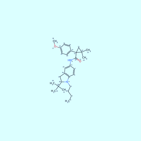 CCCCN1c2ccc(NC(=O)C3(c4ccc(OC)cc4)CC3(C)C)cc2CC1C(C)(C)C